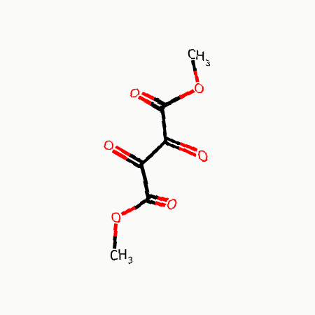 COC(=O)C(=O)C(=O)C(=O)OC